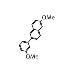 COc1cccc(-c2ccc3cc(OC)ccc3c2)c1